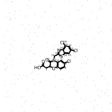 O=C(O)CC1Oc2ccc(Cl)cc2N(Cc2nc3c(Cl)cc(Cl)cc3s2)C1=O